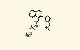 CN(C)CC1=CCC(c2ccc3ccccc3c2[CH2][Ti][NH]C(C)(C)C)=C1.Cl.Cl